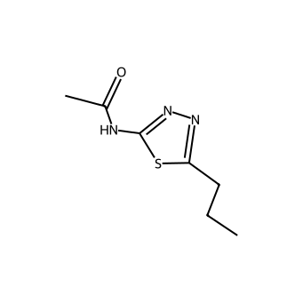 CCCc1nnc(NC(C)=O)s1